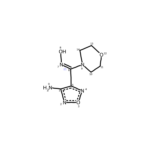 Nc1nonc1/C(=N/O)N1CCOCC1